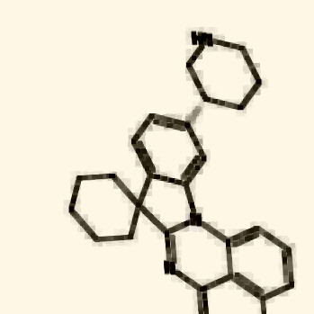 O=c1nc2n(c3cccc(Cl)c13)-c1cc([C@H]3CCCNC3)ccc1C21CCCCC1